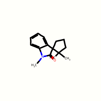 CN1C(=O)C2(CCCC2(C)C)c2ccccc21